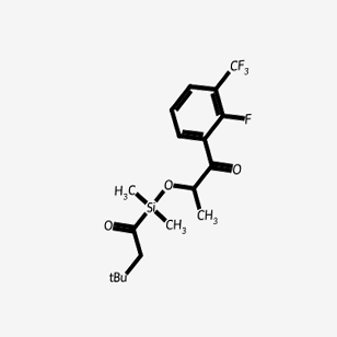 CC(O[Si](C)(C)C(=O)CC(C)(C)C)C(=O)c1cccc(C(F)(F)F)c1F